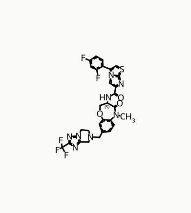 CN1C(=O)[C@@H](NC(=O)c2cn3c(-c4ccc(F)cc4F)csc3n2)COc2cc(CN3CCn4nc(C(F)(F)F)nc4C3)ccc21